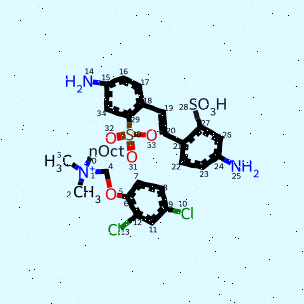 CCCCCCCC[N+](C)(C)COc1ccc(Cl)cc1Cl.Nc1ccc(C=Cc2ccc(N)cc2S(=O)(=O)O)c(S(=O)(=O)[O-])c1